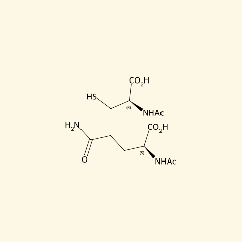 CC(=O)N[C@@H](CCC(N)=O)C(=O)O.CC(=O)N[C@@H](CS)C(=O)O